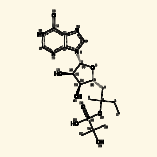 CCC(C)(C[C@H]1O[C@@H](n2cnc3c(=O)[nH]cnc32)[C@H](O)[C@@H]1O)OP(=O)(O)C(C)(C)O